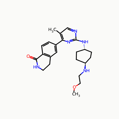 COCCN[C@H]1CC[C@H](Nc2ncc(C)c(-c3ccc4c(c3)CCNC4=O)n2)CC1